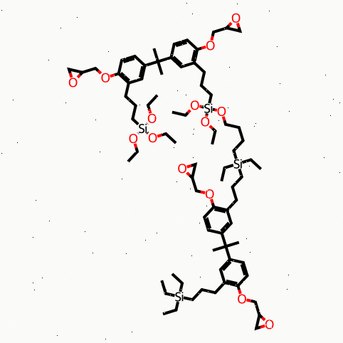 CCO[Si](CCCc1cc(C(C)(C)c2ccc(OCC3CO3)c(CCC[Si](OCC)(OCC)OCCCC[Si](CC)(CC)CCCc3cc(C(C)(C)c4ccc(OCC5CO5)c(CCC[Si](CC)(CC)CC)c4)ccc3OCC3CO3)c2)ccc1OCC1CO1)(OCC)OCC